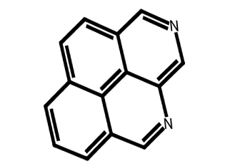 c1cc2ccc3cncc4ncc(c1)c2c34